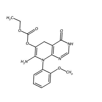 CCOC(=O)OC1=C(N)N(c2ccccc2OC)c2nc[nH]c(=O)c2C1